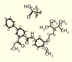 CCC(=O)c1cc(-c2ccccc2)ccc1C(=O)Nc1ccc(OC)c(OCCN(C(C)C)C(C)C)c1.O=C(O)C(F)(F)F